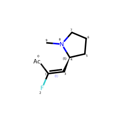 CC(=O)/C(F)=C\[C@@H]1CCCN1C